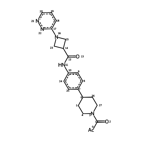 CC(=O)C(=O)N1CCC(c2ccc(NC(=O)C3CN(c4cccnn4)C3)cc2)CC1